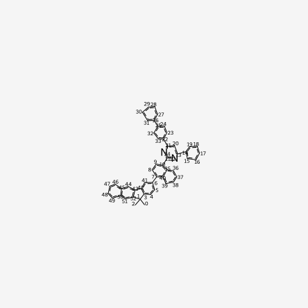 CC1(C)c2ccc(-c3ccc(-c4nc(-c5ccccc5)cc(-c5ccc(-c6ccccc6)cc5)n4)c4ccccc34)cc2-c2cc3ccccc3cc21